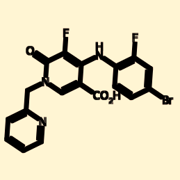 O=C(O)c1cn(Cc2ccccn2)c(=O)c(F)c1Nc1ccc(Br)cc1F